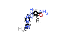 Cc1cc(Nc2nc3n(n2)C=CN(c2cnn(C)c2)C3)ccc1C(N)=O